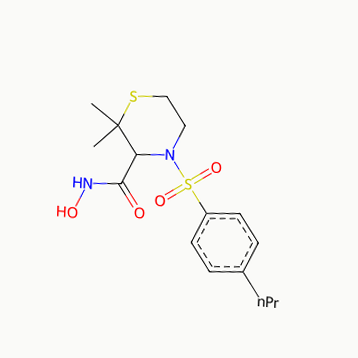 CCCc1ccc(S(=O)(=O)N2CCSC(C)(C)C2C(=O)NO)cc1